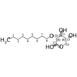 CCCCCCCCCO[C@@H]1[C@@H](O)[C@H](O)CO[C@H]1O